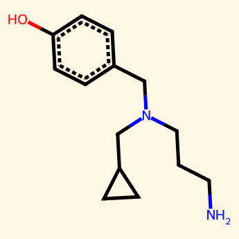 NCCCN(Cc1ccc(O)cc1)CC1CC1